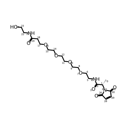 C[C@@H](C(=O)NCCOCCOCCOCCOCCC(=O)NCCO)N1C(=O)C=CC1=O